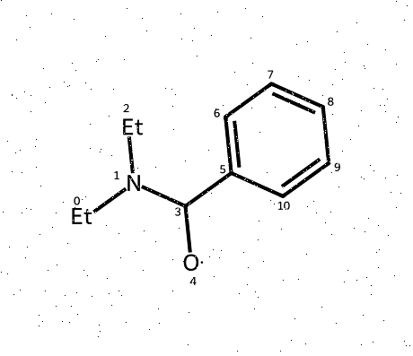 CCN(CC)C([O])c1ccccc1